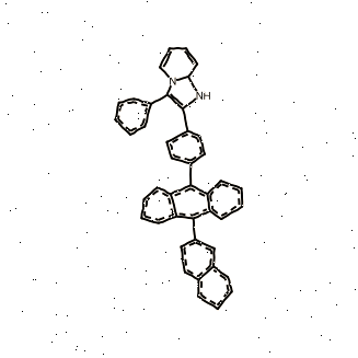 C1=CC2NC(c3ccc(-c4c5ccccc5c(-c5ccc6ccccc6c5)c5ccccc45)cc3)=C(c3ccccc3)N2C=C1